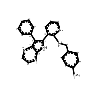 COc1ccc(CNc2ncccc2-c2[nH]c3nccnc3c2-c2ccccc2)cc1